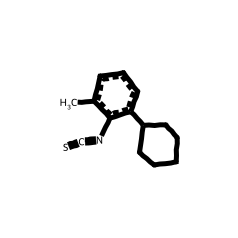 Cc1cccc(C2CCCCC2)c1N=C=S